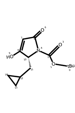 CC(C)(C)OC(=O)N1C(=O)C=C(O)[C@H]1CC1CC1